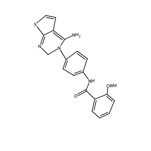 COc1ccccc1C(=O)Nc1ccc(N2CN=c3sccc3=C2N)cc1